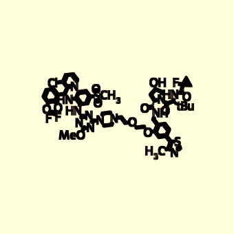 COc1nc(Nc2cc(S(C)(=O)=O)ccc2N[C@@H](c2cccc3c2OC(F)(F)O3)c2ncccc2Cl)nc(N2CCN(CCOCCOc3cc(-c4scnc4C)ccc3CNC(=O)[C@@H]3C[C@@H](O)CN3C(=O)[C@@H](NC(=O)C3(F)CC3)C(C)(C)C)CC2)n1